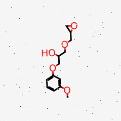 COc1cccc(OCC(O)COCC2CO2)c1